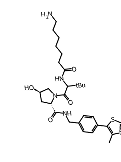 Cc1ncsc1-c1ccc(CNC(=O)[C@@H]2C[C@@H](O)CN2C(=O)C(NC(=O)CCCCCCN)C(C)(C)C)cc1